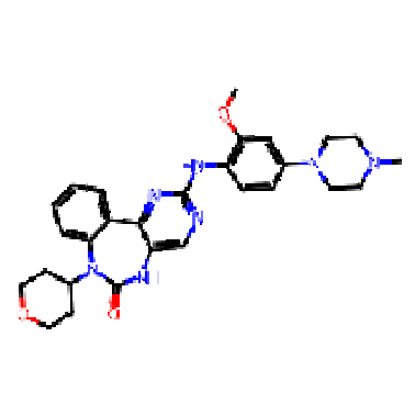 COc1cc(N2CCN(C)CC2)ccc1Nc1ncc2c(n1)-c1ccccc1N(C1CCOCC1)C(=O)N2